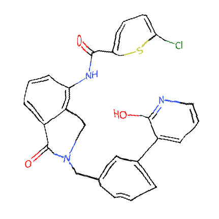 O=C(Nc1cccc2c1CN(Cc1cccc(-c3cccnc3O)c1)C2=O)c1ccc(Cl)s1